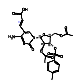 CC(=O)OC[C@H]1O[C@@H](n2cc(/C=C/C(=O)O)c(N)nc2=O)[C@H](OC(C)=O)[C@H]1OS(=O)(=O)c1ccc(C)cc1